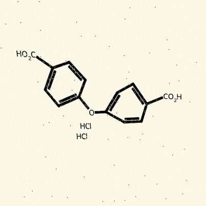 Cl.Cl.O=C(O)c1ccc(Oc2ccc(C(=O)O)cc2)cc1